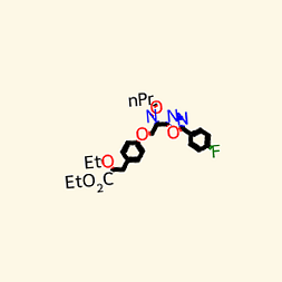 CCCON=C(COc1ccc(CC(OCC)C(=O)OCC)cc1)c1nnc(-c2ccc(F)cc2)o1